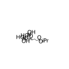 CC(C)OC(=O)CCC[C@@H](CON(O)O)ON(O)O